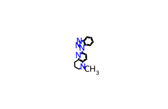 CN1CCCc2nc(-n3nnc4ccccc43)ccc21